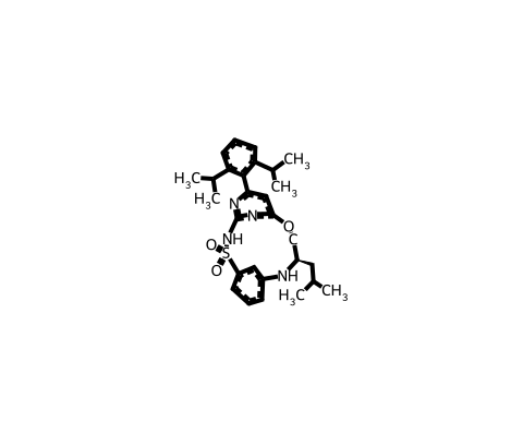 CC(C)C[C@@H]1COc2cc(-c3c(C(C)C)cccc3C(C)C)nc(n2)NS(=O)(=O)c2cccc(c2)N1